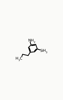 CCCc1cc(N)cc([SiH3])c1